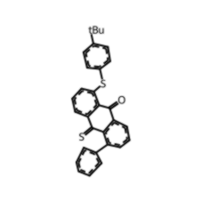 CC(C)(C)c1ccc(Sc2cccc3c2C(=O)c2cccc(-c4ccccc4)c2C3=S)cc1